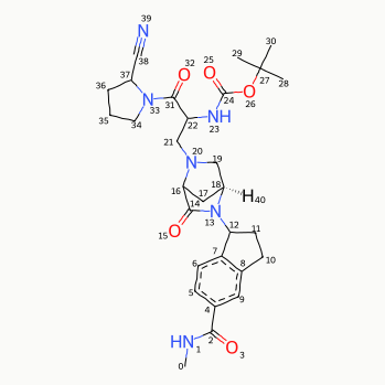 CNC(=O)c1ccc2c(c1)CCC2N1C(=O)C2C[C@H]1CN2CC(NC(=O)OC(C)(C)C)C(=O)N1CCCC1C#N